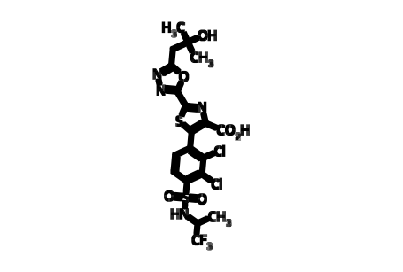 CC(NS(=O)(=O)c1ccc(-c2sc(-c3nnc(CC(C)(C)O)o3)nc2C(=O)O)c(Cl)c1Cl)C(F)(F)F